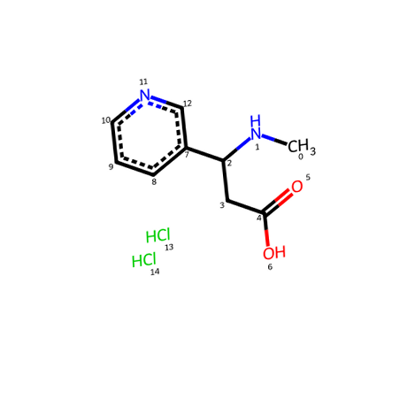 CNC(CC(=O)O)c1cccnc1.Cl.Cl